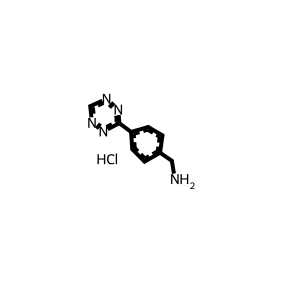 Cl.NCc1ccc(-c2nncnn2)cc1